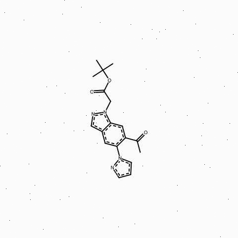 CC(=O)c1cc2c(cnn2CC(=O)OC(C)(C)C)cc1-n1cccn1